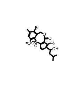 COc1cc(C)c(Br)c2c1S(=O)(=O)c1ccc(C(O)CC(C)C)c(OC)c1C(=O)OC2